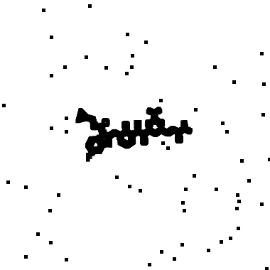 CN(C)C(=O)/C=C/CCC(OC(=O)N(C)C)C(=O)Nc1cccn(Cc2nc3cc(F)ccc3n2C(=O)OCC2CC2)c1=O